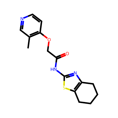 Cc1cnccc1OCC(=O)Nc1nc2c(s1)CCCC2